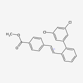 COC(=O)c1ccc(/C=C/c2ccccc2-c2cc(Cl)cc(Cl)c2)cc1